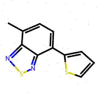 Cc1ccc(-c2cccs2)c2nsnc12